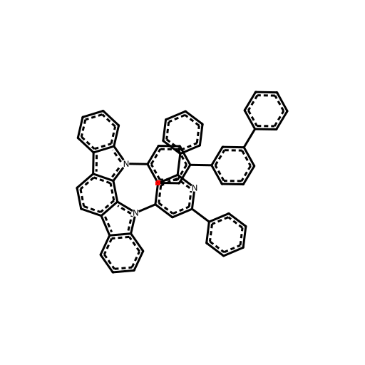 c1ccc(-c2cccc(-c3ccc(-n4c5ccccc5c5ccc6c7ccccc7n(-c7cc(-c8ccccc8)nc(-c8ccccc8)c7)c6c54)cc3)c2)cc1